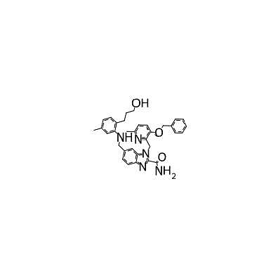 Cc1ccc(CCCO)c(NCc2ccc3nc(C(N)=O)n(Cc4nc(C)ccc4OCc4ccccc4)c3c2)c1